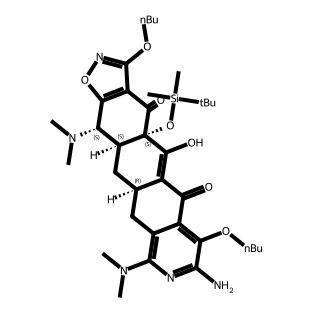 CCCCOc1noc2c1C(=O)[C@@]1(O[Si](C)(C)C(C)(C)C)C(O)=C3C(=O)c4c(c(N(C)C)nc(N)c4OCCCC)C[C@H]3C[C@H]1[C@@H]2N(C)C